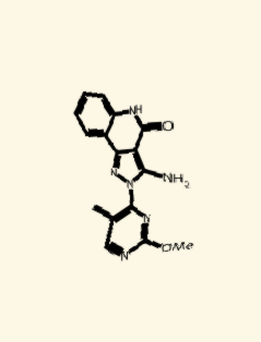 COc1ncc(C)c(-n2nc3c(c2N)c(=O)[nH]c2ccccc23)n1